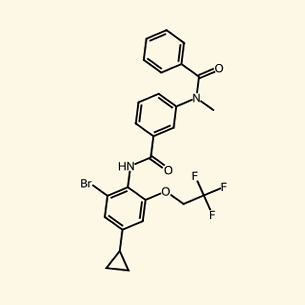 CN(C(=O)c1ccccc1)c1cccc(C(=O)Nc2c(Br)cc(C3CC3)cc2OCC(F)(F)F)c1